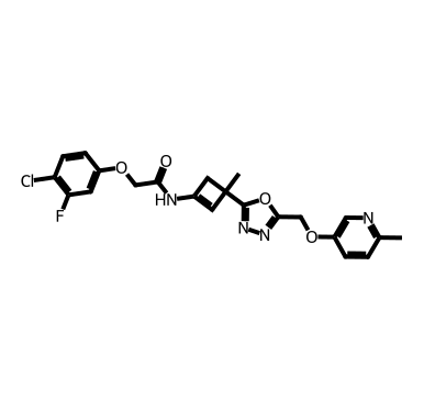 Cc1ccc(OCc2nnc(C3(C)C=C(NC(=O)COc4ccc(Cl)c(F)c4)C3)o2)cn1